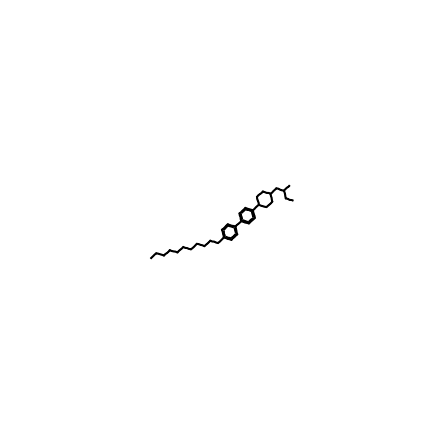 CCCCCCCCCCCc1ccc(-c2ccc(C3CCC(CC(C)CC)CC3)cc2)cc1